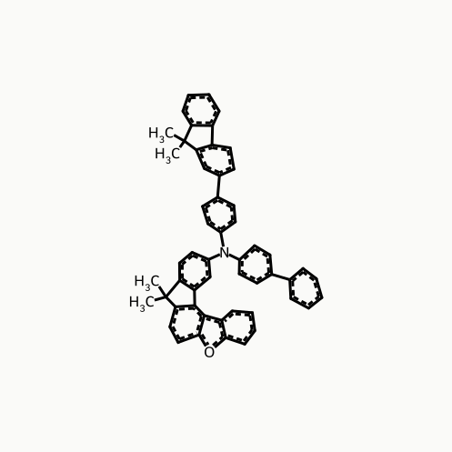 CC1(C)c2ccccc2-c2ccc(-c3ccc(N(c4ccc(-c5ccccc5)cc4)c4ccc5c(c4)-c4c(ccc6oc7ccccc7c46)C5(C)C)cc3)cc21